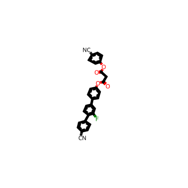 N#Cc1ccc(OC(=O)CC(=O)Oc2ccc(-c3ccc(-c4ccc(C#N)cc4)c(F)c3)cc2)cc1